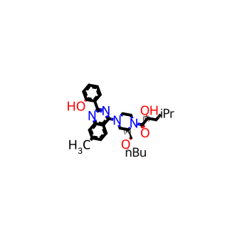 CCCCOC[C@H]1CN(c2nc(-c3ccccc3O)nc3cc(C)ccc23)CCN1C(=O)[C@H](O)CC(C)C